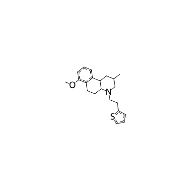 COc1cccc2c1CCC1C2CC(C)CN1CCc1cccs1